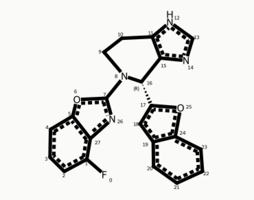 Fc1cccc2oc(N3CCc4[nH]cnc4[C@@H]3c3cc4ccccc4o3)nc12